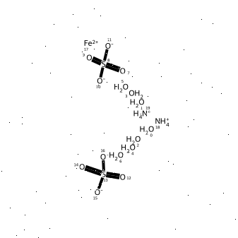 O.O.O.O.O.O.O.O=S(=O)([O-])[O-].O=S(=O)([O-])[O-].[Fe+2].[NH4+].[NH4+]